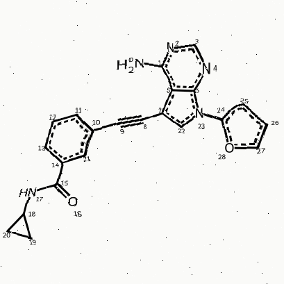 Nc1ncnc2c1c(C#Cc1cccc(C(=O)NC3CC3)c1)cn2-c1ccco1